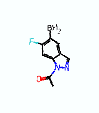 Bc1cc2cnn(C(C)=O)c2cc1F